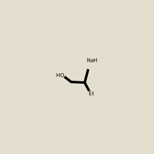 CCC(C)CO.[NaH]